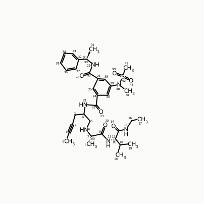 CC#CCC(CN[C@@H](C)C(=O)N[C@H](C(=O)NCC)C(C)C)NC(=O)c1cc(C(=O)N[C@H](C)c2ccccc2)cc(N(C)S(C)(=O)=O)c1